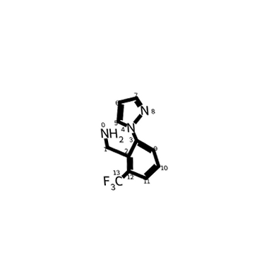 NCc1c(-n2cccn2)cccc1C(F)(F)F